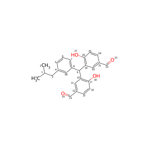 CC(C)Cc1cccc(C(c2cc(C=O)ccc2O)c2cc(C=O)ccc2O)c1